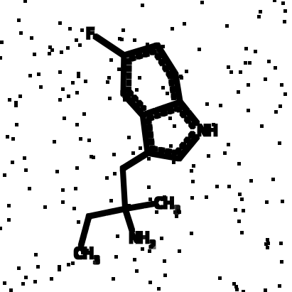 CCC(C)(N)Cc1c[nH]c2ccc(F)cc12